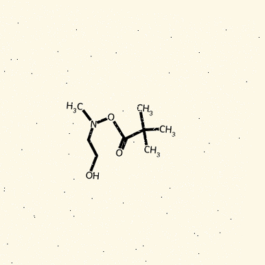 CN(CCO)OC(=O)C(C)(C)C